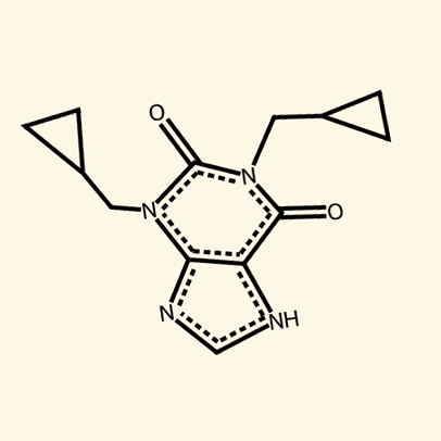 O=c1c2[nH]cnc2n(CC2CC2)c(=O)n1CC1CC1